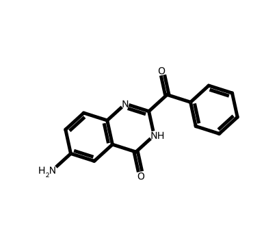 Nc1ccc2nc(C(=O)c3ccccc3)[nH]c(=O)c2c1